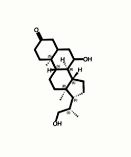 C[C@H](CO)[C@H]1CC[C@H]2[C@@H]3C(O)CC4CC(=O)CC[C@]4(C)[C@H]3CC[C@]12C